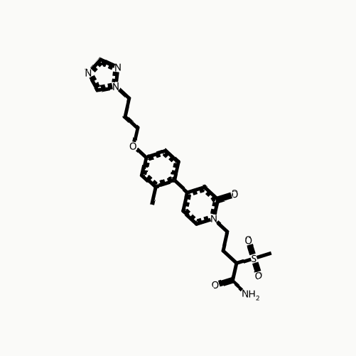 Cc1cc(OCCCn2cncn2)ccc1-c1ccn(CCC(C(N)=O)S(C)(=O)=O)c(=O)c1